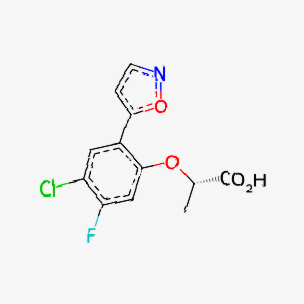 C[C@H](Oc1cc(F)c(Cl)cc1-c1ccno1)C(=O)O